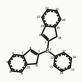 C1=C(B(C2=Cc3ccccc3C2)c2ccccc2)Cc2ccccc21